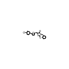 O=C1S/C(=C\c2ccc(-c3ccc(Cl)cc3)o2)C(=O)N1Cc1ccccc1